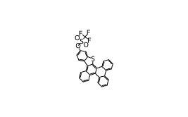 O=S(=O)(Oc1ccc2c(c1)sc1c2c2ccccc2c2c3ccccc3c3ccccc3c12)C(F)(F)F